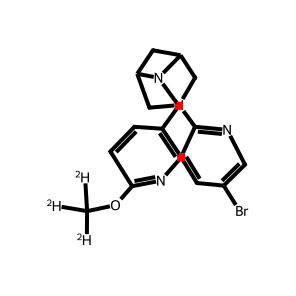 [2H]C([2H])([2H])Oc1ccc(CN2C3CC2CN(c2ccc(Br)cn2)C3)cn1